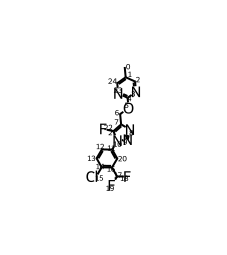 Cc1cnc(OCc2nnn(-c3ccc(Cl)c(C(F)F)c3)c2F)nc1